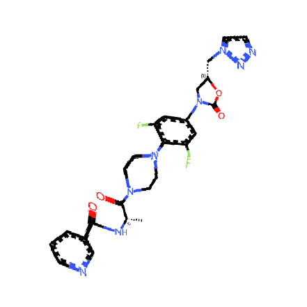 C[C@H](NC(=O)c1cccnc1)C(=O)N1CCN(c2c(F)cc(N3C[C@H](Cn4ccnn4)OC3=O)cc2F)CC1